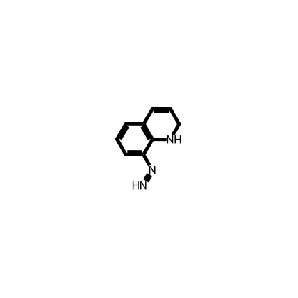 N=Nc1cccc2c1NCC=C2